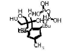 Cc1cc(C(C)(C)C)c(C(C)(O)C(CO)(CO)CO)c(C(C)(C)C)c1.OP(O)OP(O)O